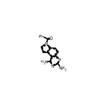 CC(C)C(=O)n1ccc2c3c(N)nc(N)nc3ccc21